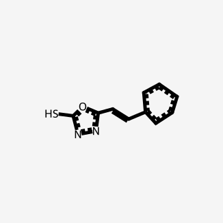 Sc1nnc(/C=C/c2ccccc2)o1